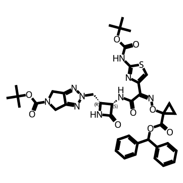 CC(C)(C)OC(=O)Nc1nc(C(=NOC2(C(=O)OC(c3ccccc3)c3ccccc3)CC2)C(=O)N[C@@H]2C(=O)N[C@@H]2Cn2nc3c(n2)CN(C(=O)OC(C)(C)C)C3)cs1